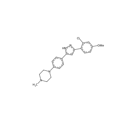 COc1ccc(-c2cc(-c3ccc(N4CCN(C)CC4)cc3)[nH]n2)c(Cl)c1